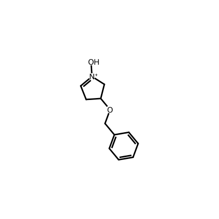 O[N+]1=CCC(OCc2ccccc2)C1